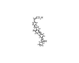 O=C(O)C1CC1c1ccc(OC2CCc3c(Oc4ccc(OCC5(O)CCOCC5)cc4)ccc(F)c32)cc1